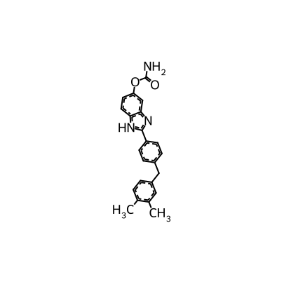 Cc1ccc(Cc2ccc(-c3nc4cc(OC(N)=O)ccc4[nH]3)cc2)cc1C